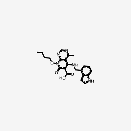 CCCCOn1c(=O)c(C(=O)O)c(NCc2cccc3[nH]ccc23)c2c(C)ncnc21